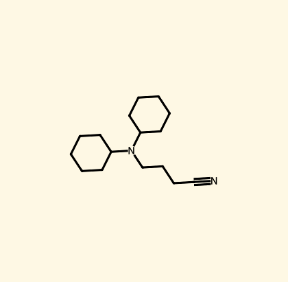 N#CCCCN(C1CCCCC1)C1CCCCC1